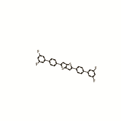 Fc1cc(F)cc(-c2ccc(-c3cc4sc(-c5ccc(-c6cc(F)cc(F)c6)cc5)cc4s3)cc2)c1